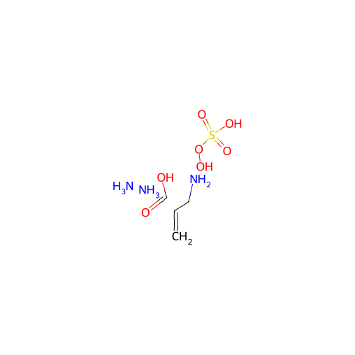 C=CCN.N.N.O=CO.O=S(=O)(O)OO